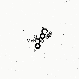 CNC(=O)c1c(-c2ccc(F)cc2)oc2cc3c(cc12)CC(C)CCN3S(C)(=O)=O